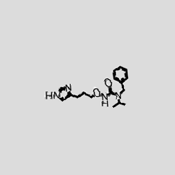 CC(C)N(Cc1ccccc1)C(=O)NOCCCc1c[nH]cn1